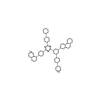 c1ccc(-c2ccc(-c3nc(-c4ccc(-c5cccc6ccncc56)cc4)nc(-c4cc(-c5ccc(-c6ccncc6)cc5)cc(-c5ccc6c(ccc7ccccc76)c5)c4)n3)cc2)cc1